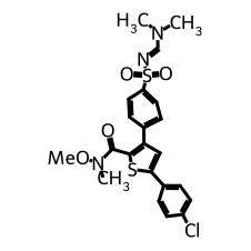 CON(C)C(=O)c1sc(-c2ccc(Cl)cc2)cc1-c1ccc(S(=O)(=O)/N=C/N(C)C)cc1